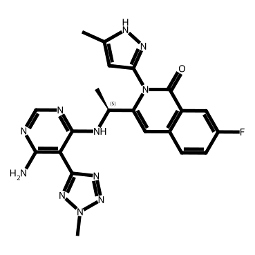 Cc1cc(-n2c([C@H](C)Nc3ncnc(N)c3-c3nnn(C)n3)cc3ccc(F)cc3c2=O)n[nH]1